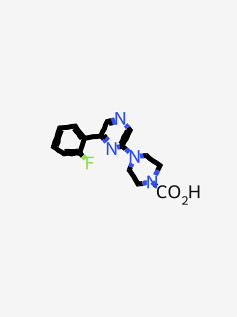 O=C(O)N1CCN(c2cncc(-c3ccccc3F)n2)CC1